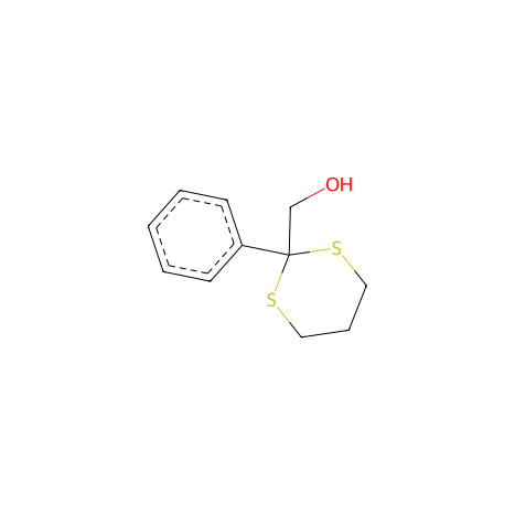 OCC1(c2ccccc2)SCCCS1